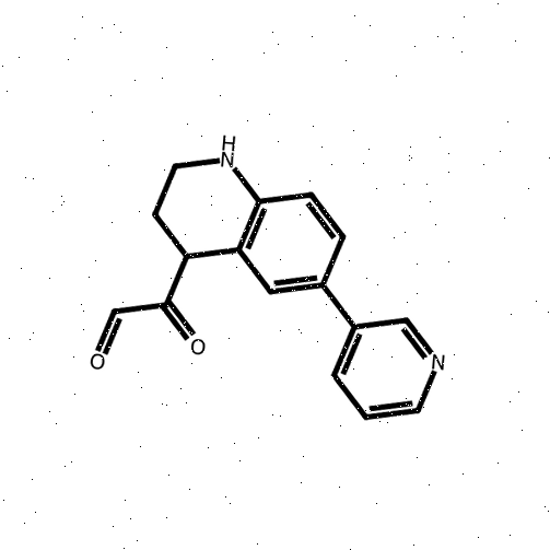 O=CC(=O)C1CCNc2ccc(-c3cccnc3)cc21